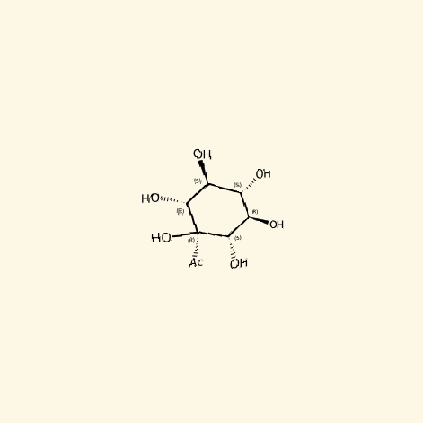 CC(=O)[C@]1(O)[C@H](O)[C@@H](O)[C@H](O)[C@@H](O)[C@@H]1O